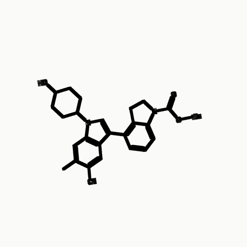 Cc1cc2c(cc1C#N)c(-c1cccc3c1CCN3C(=O)OC(C)(C)C)cn2C1CCC(O)CC1